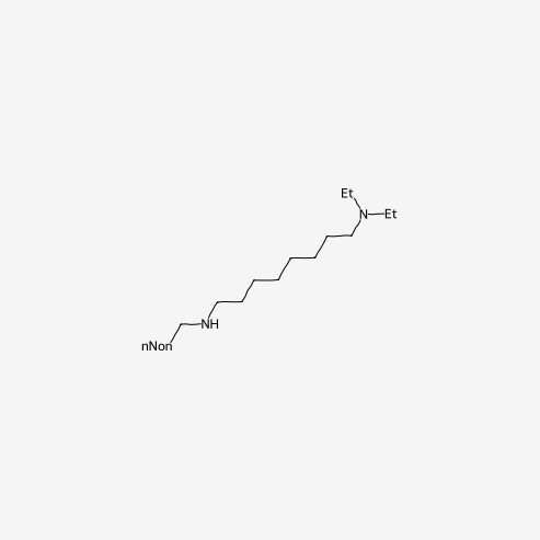 CCCCCCCCCCNCCCCCCCCN(CC)CC